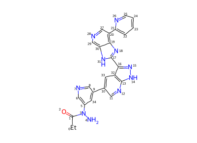 CCC(=O)N(N)c1cncc(-c2cnc3[nH]nc(-c4nc5c(-c6ccccn6)cncc5[nH]4)c3c2)c1